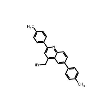 Cc1ccc(-c2ccc3nc(-c4ccc(C)cc4)cc(CC(C)C)c3c2)cc1